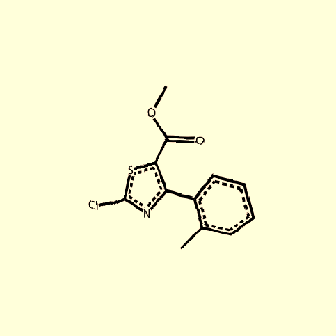 COC(=O)c1sc(Cl)nc1-c1ccccc1C